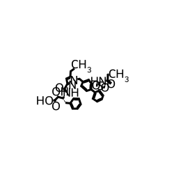 CCCc1cc(C(=O)N[C@H](Cc2ccccc2)[C@@H](O)C(=O)O)nn1Cc1ccc(-c2ccccc2S(=O)(=O)NC(=O)CC)cc1